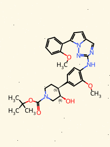 COc1cc([C@@H]2CCN(C(=O)OC(C)(C)C)C[C@@H]2O)ccc1Nc1ncc2ccc(-c3ccccc3OC)n2n1